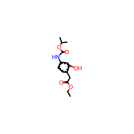 CCOC(=O)Cc1ccc(NC(=O)OC(C)C)cc1O